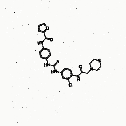 O=C(CN1CCSCC1)Nc1ccc(NC(=S)Nc2ccc(NC(=O)c3ccco3)cc2)cc1Cl